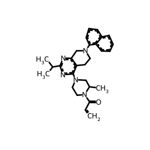 C=CC(=O)N1CCN(c2nc(C(C)C)nc3c2CCN(c2cccc4ccccc24)C3)CC1C